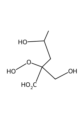 CC(O)CC(CO)(OO)C(=O)O